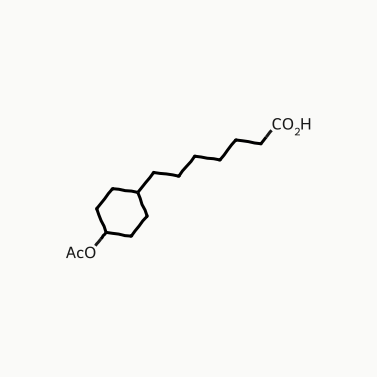 CC(=O)OC1CCC(CCCCCCC(=O)O)CC1